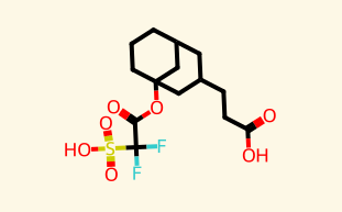 O=C(O)CCC1CC2CCCC(OC(=O)C(F)(F)S(=O)(=O)O)(C2)C1